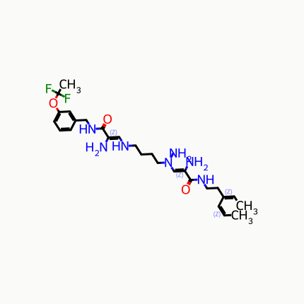 C/C=C\C(=C/C)CCNC(=O)/C(N)=C/N(N)CCCCN/C=C(\N)C(=O)NCc1cccc(OC(C)(F)F)c1